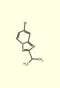 CC(C)c1nc2cc(Br)ccn2n1